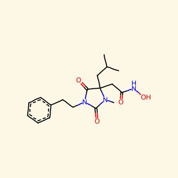 CC(C)CC1(CC(=O)NO)C(=O)N(CCc2ccccc2)C(=O)N1C